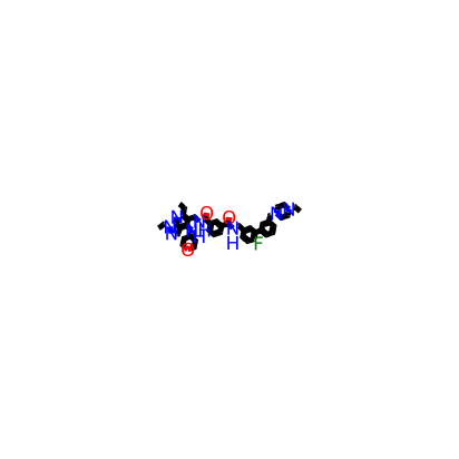 CCc1nc2c(cnn2CC)c(NC2CCOCC2)c1CNC(=O)c1cccc(C(=O)NCc2ccc(F)c(-c3cccc(CN4CCN(CC)CC4)c3)c2)c1